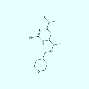 CC(C)C(=O)NC(COC(F)F)C(C)OCC1CCOCC1